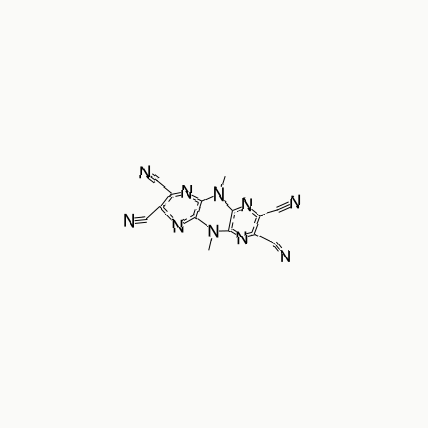 CN1c2nc(C#N)c(C#N)nc2N(C)c2nc(C#N)c(C#N)nc21